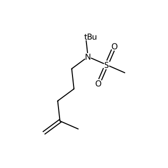 C=C(C)CCCN(C(C)(C)C)S(C)(=O)=O